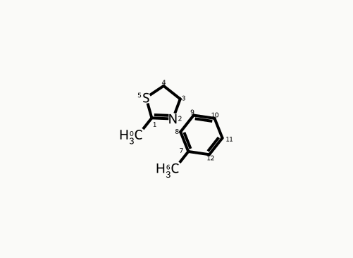 CC1=NCCS1.Cc1ccccc1